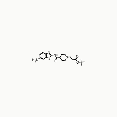 CC(C)(C)OC(=O)CCN1CCC(C(=O)Nc2nc3ccc(N)cc3s2)CC1